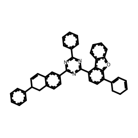 C1=CCCC(c2ccc(-c3nc(-c4ccccc4)nc(-c4ccc5c(c4)C=CC(c4ccccc4)C5)n3)c3c2oc2ccccc23)=C1